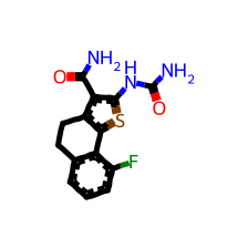 NC(=O)Nc1sc2c(c1C(N)=O)CCc1cccc(F)c1-2